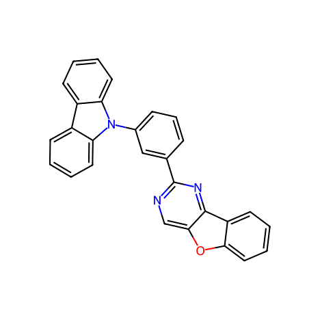 c1cc(-c2ncc3oc4ccccc4c3n2)cc(-n2c3ccccc3c3ccccc32)c1